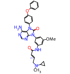 COc1cc(NC(=O)/C=C/CN(C)C2CC2)cc(-n2c(=O)n(-c3ccc(Oc4ccccc4)cc3)c3c(N)ncnc32)c1